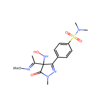 CON=C(C)C1(NO)C(=O)N(C)N=C1c1ccc(S(=O)(=O)N(C)C)cc1